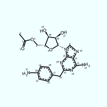 CC(=O)OC[C@H]1O[C@@H](n2cnc3c(N)nc(Cc4ccc(N)cc4)nc32)[C@H](O)[C@@H]1O